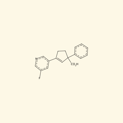 O=C(O)C1(c2ccccc2)C=C(c2cncc(F)c2)CC1